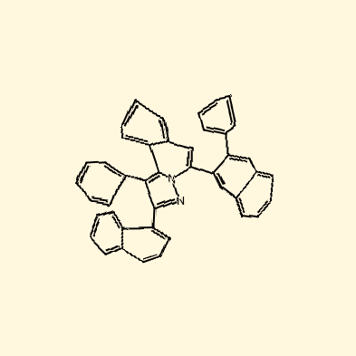 c1ccc(-c2cc3ccccc3cc2-c2cc3ccccc3c3c(-c4ccccc4)c(-c4cccc5ccccc45)nn23)cc1